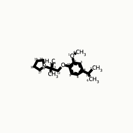 COc1cc(C(C)C)ccc1OCC(C)(C)N1CCCC1